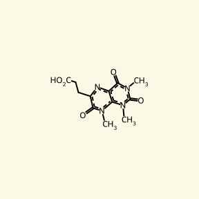 Cn1c(=O)c2nc(CCC(=O)O)c(=O)n(C)c2n(C)c1=O